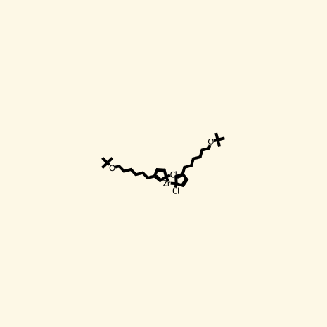 CC(C)(C)OCCCCCCC1=C[C](Cl)([Zr][C]2(Cl)C=CC(CCCCCCOC(C)(C)C)=C2)C=C1